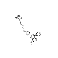 CC(C)n1cnc2c(N3CCOCC3)nc(-c3ccc(OCCCCCCC(=O)NO)cc3)nc21